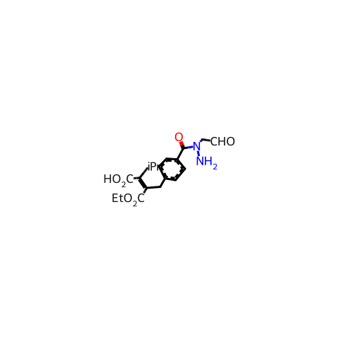 CCOC(=O)C(Cc1ccc(C(=O)N(N)CC=O)cc1)=C(C(=O)O)C(C)C